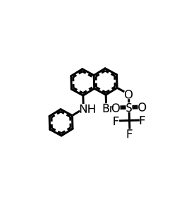 O=S(=O)(Oc1ccc2cccc(Nc3ccccc3)c2c1Br)C(F)(F)F